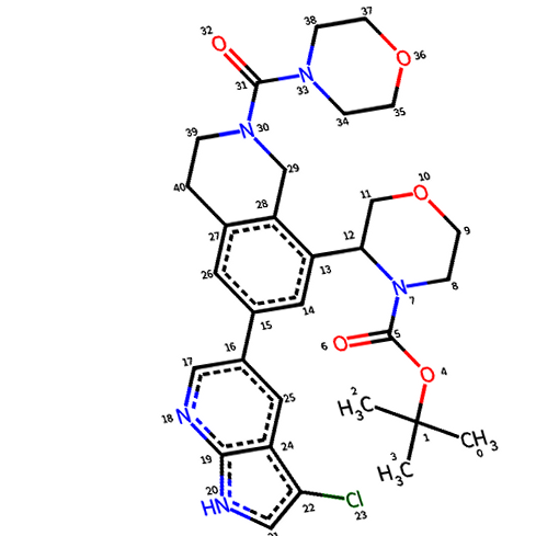 CC(C)(C)OC(=O)N1CCOCC1c1cc(-c2cnc3[nH]cc(Cl)c3c2)cc2c1CN(C(=O)N1CCOCC1)CC2